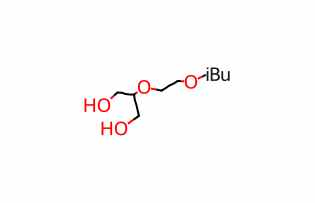 CCC(C)OCCOC(CO)CO